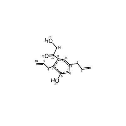 C=CCc1cc(O)c(CC=C)c(C(=O)CO)c1